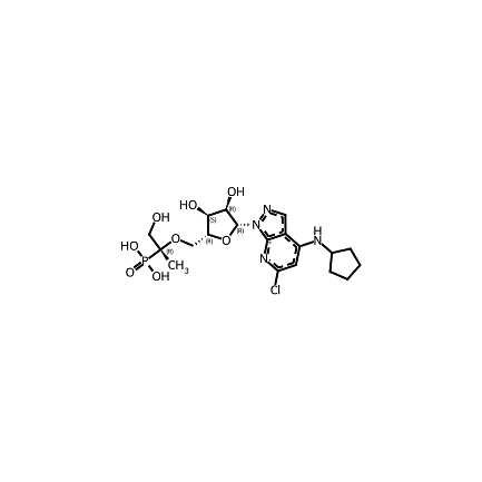 C[C@@](CO)(OC[C@H]1O[C@@H](n2ncc3c(NC4CCCC4)cc(Cl)nc32)[C@H](O)[C@@H]1O)P(=O)(O)O